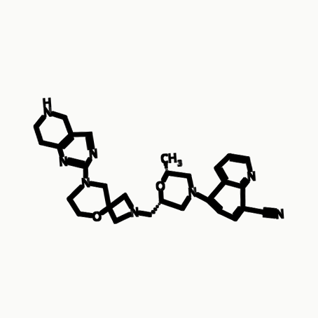 C[C@@H]1CN(c2ccc(C#N)c3ncccc23)C[C@H](CN2CC3(C2)CN(c2ncc4c(n2)CCNC4)CCO3)O1